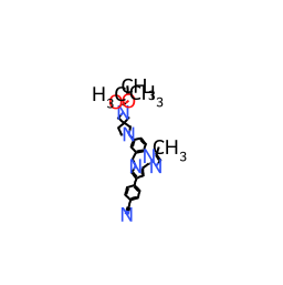 Cc1cnc2n1-c1ccc(N3CCC4(CN(C(=O)OC(C)(C)C)C4)C3)cc1Cn1cc(-c3ccc(C#N)cc3)cc1-2